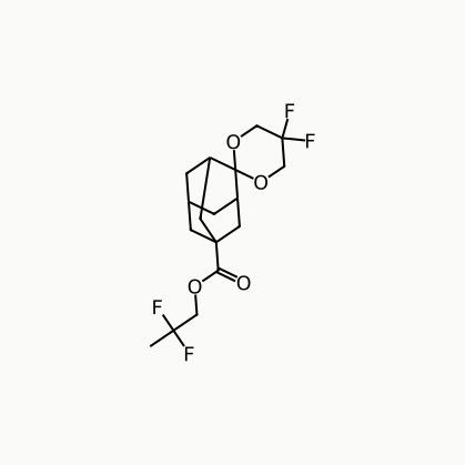 CC(F)(F)COC(=O)C12CC3CC(C1)C1(OCC(F)(F)CO1)C(C3)C2